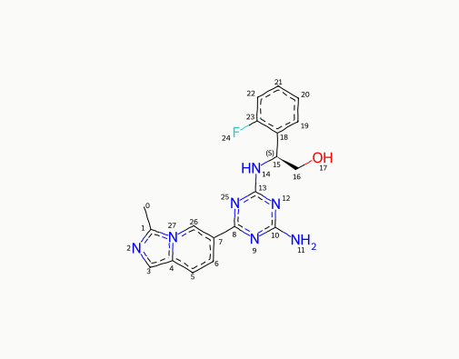 Cc1ncc2ccc(-c3nc(N)nc(N[C@H](CO)c4ccccc4F)n3)cn12